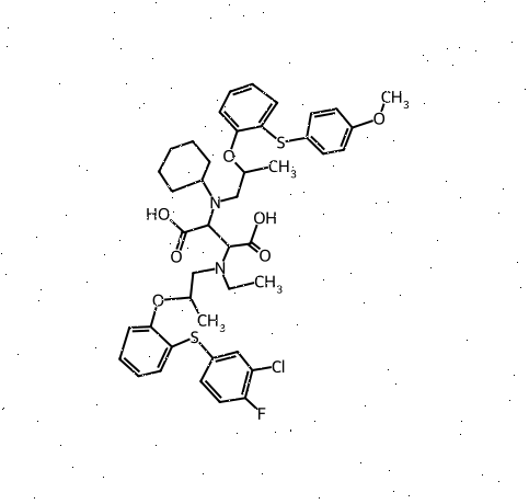 CCN(CC(C)Oc1ccccc1Sc1ccc(F)c(Cl)c1)C(C(=O)O)C(C(=O)O)N(CC(C)Oc1ccccc1Sc1ccc(OC)cc1)C1CCCCC1